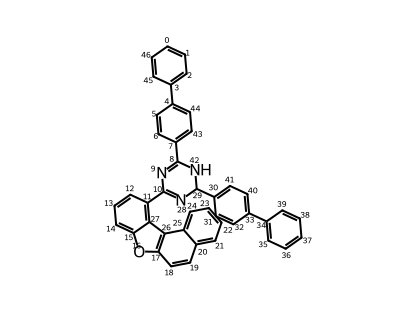 c1ccc(-c2ccc(C3=NC(c4cccc5oc6ccc7ccccc7c6c45)=NC(c4ccc(-c5ccccc5)cc4)N3)cc2)cc1